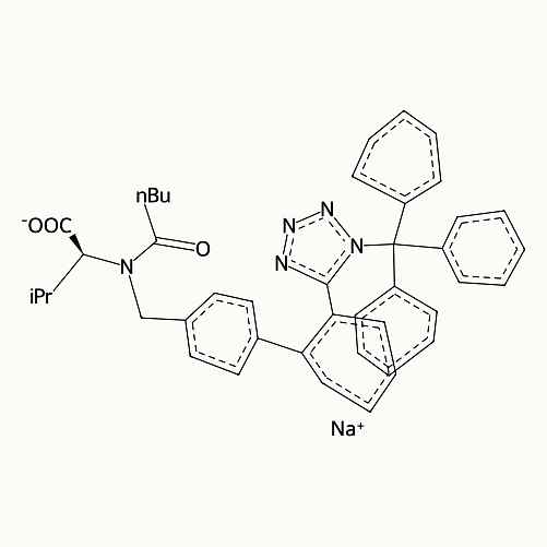 CCCCC(=O)N(Cc1ccc(-c2ccccc2-c2nnnn2C(c2ccccc2)(c2ccccc2)c2ccccc2)cc1)[C@H](C(=O)[O-])C(C)C.[Na+]